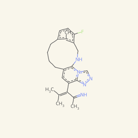 CC(=N)C(=C(C)C)c1cc2c(n3cnnc13)NCc1c(F)ccc(c1C)CCCC2